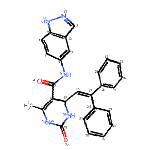 CC1=C(C(=O)Nc2ccc3[nH]ncc3c2)C(C=C(c2ccccc2)c2ccccc2)NC(=O)N1